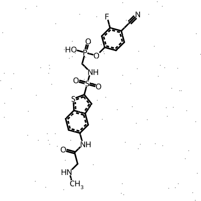 CNCC(=O)Nc1ccc2sc(S(=O)(=O)NCP(=O)(O)Oc3ccc(C#N)c(F)c3)cc2c1